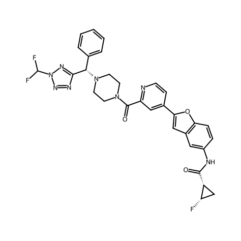 O=C(Nc1ccc2oc(-c3ccnc(C(=O)N4CCN([C@@H](c5ccccc5)c5nnn(C(F)F)n5)CC4)c3)cc2c1)[C@@H]1C[C@@H]1F